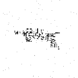 C#CCON=C(C(=O)NC1C(=O)N2C(C(=O)O)=C(CSc3nnnn3CC(=NOC)C(=O)O)CS[C@@H]12)c1csc(N)n1